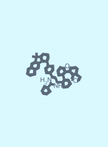 CC1(C)c2cc3ccccc3cc2-c2c(-c3ccc(/C=C/C(NC(N)c4ccccc4)c4ccccc4-c4cccc5oc6ccc7ccccc7c6c45)cc3)cccc21